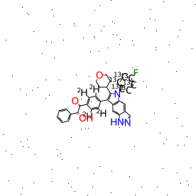 [2H]c1c([2H])c(-c2c(C3CCOCC3)n(-[13c]3[13cH][13cH][13c](F)[13cH][13cH]3)c3cc4cn[nH]c4cc23)c([2H])c([2H])c1C(=O)C(O)c1ccccc1